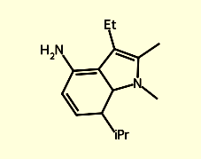 CCC1=C(C)N(C)C2C1=C(N)C=CC2C(C)C